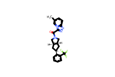 Cc1ccc2nnc(C(=O)N3C[C@H]4C[C@@H](c5ccccc5C(F)(F)F)C[C@H]4C3)n2c1